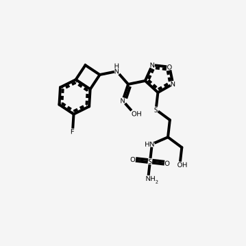 NS(=O)(=O)NC(CO)CSc1nonc1C(=NO)NC1Cc2ccc(F)cc21